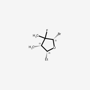 CC[C@H]1O[C@@H](Br)C(C)(F)[C@H]1C